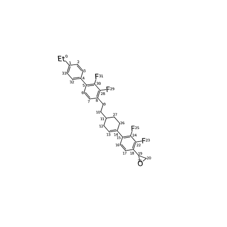 CCc1ccc(-c2ccc(CCC3CC=C(c4ccc(C5CO5)c(F)c4F)CC3)c(F)c2F)cc1